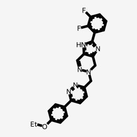 CCOc1ccc(-c2ccc(CN3Cc4nc(-c5cccc(F)c5F)[nH]c4C=N3)nn2)cc1